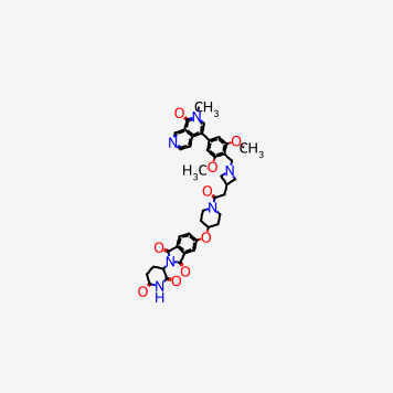 COc1cc(-c2cn(C)c(=O)c3cnccc23)cc(OC)c1CN1CC(CC(=O)N2CCC(Oc3ccc4c(c3)C(=O)N(C3CCC(=O)NC3=O)C4=O)CC2)C1